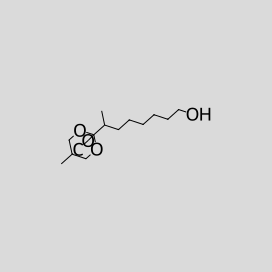 CC(CCCCCCO)C12OCC(C)(CO1)CO2